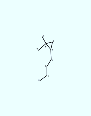 CCCCC1CC1(C)C